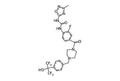 Cc1noc(NC(=O)Nc2ccc(C(=O)N3CCN(Cc4ccc(C(O)(C(F)(F)F)C(F)(F)F)cc4)CC3)cc2F)n1